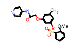 COc1ccccc1S(=O)(=O)Oc1cc(C)cc(OCC(=O)Nc2ccncc2)c1